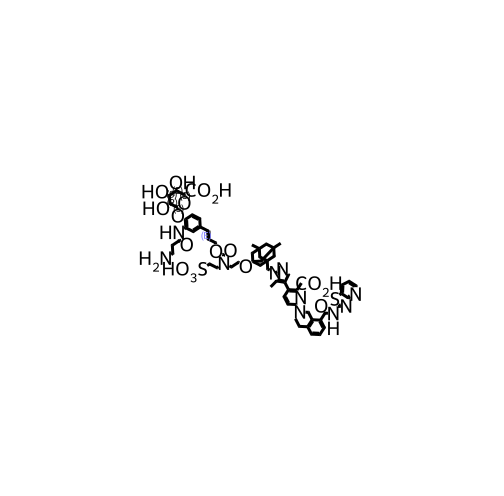 Cc1c(-c2ccc(N3CCc4cccc(C(=O)Nc5nc6ncccc6s5)c4C3)nc2C(=O)O)cnn1CC12CC3(C)CC(C)(C1)CC(OCCN(CCS(=O)(=O)O)C(=O)OC/C=C/c1ccc(O[C@@H]4O[C@H](C(=O)O)[C@@H](O)[C@H](O)[C@H]4O)c(NC(=O)CCN)c1)(C3)C2